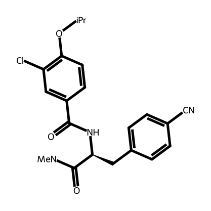 CNC(=O)[C@H](Cc1ccc(C#N)cc1)NC(=O)c1ccc(OC(C)C)c(Cl)c1